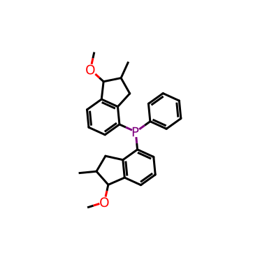 COC1c2cccc(P(c3ccccc3)c3cccc4c3CC(C)C4OC)c2CC1C